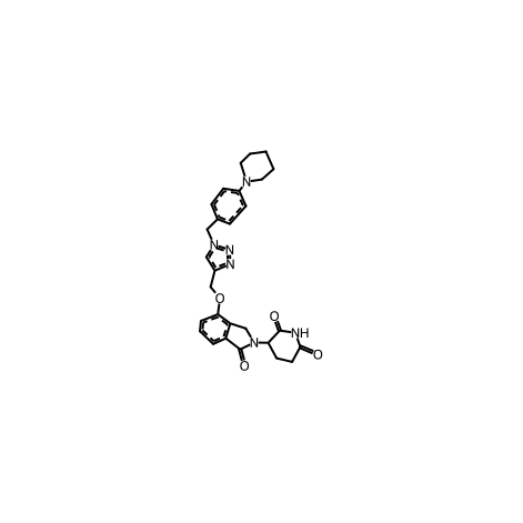 O=C1CCC(N2Cc3c(OCc4cn(Cc5ccc(N6CCCCC6)cc5)nn4)cccc3C2=O)C(=O)N1